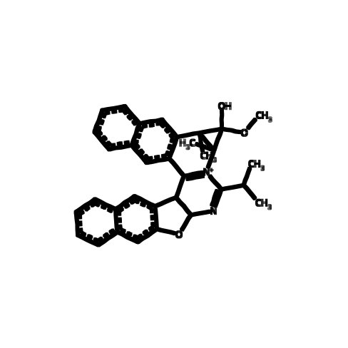 COC1(O)C2(C)c3cc4ccccc4cc3C3=[N+](C(C(C)C)=NC4Oc5cc6ccccc6cc5C34)C12C